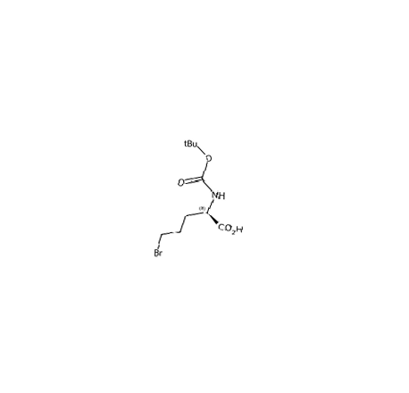 CC(C)(C)OC(=O)N[C@H](CCCBr)C(=O)O